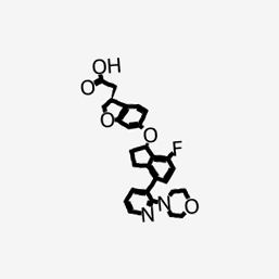 O=C(O)C[C@@H]1COc2cc(O[C@@H]3CCc4c(-c5cccnc5N5CCOCC5)ccc(F)c43)ccc21